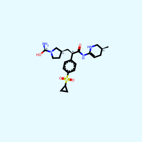 C[C@H]1CC=C(NC(=O)[C@H](C[C@H]2CCN([C@H](N)O)C2)c2ccc(S(=O)(=O)C3CC3)cc2)NC1